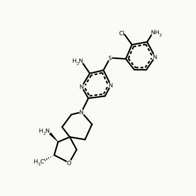 C[C@H]1OCC2(CCN(c3cnc(Sc4ccnc(N)c4Cl)c(N)n3)CC2)[C@@H]1N